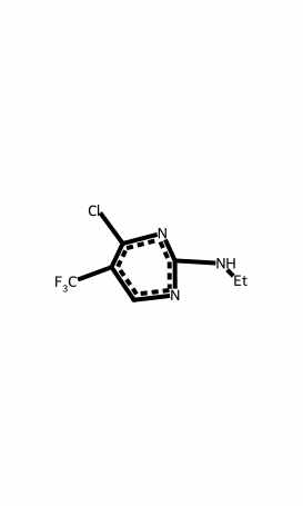 CCNc1ncc(C(F)(F)F)c(Cl)n1